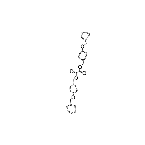 O=C(OCc1ccc(OCc2ccccc2)cc1)C(=O)OCc1ccc(OCc2ccccc2)cc1